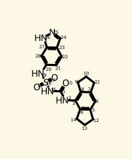 O=C(Nc1c2c(cc3c1CCC3)CCC2)NS(=O)(=O)Nc1ccc2cn[nH]c2c1